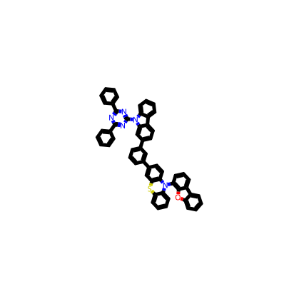 c1ccc(-c2nc(-c3ccccc3)nc(-n3c4ccccc4c4ccc(-c5cccc(-c6ccc7c(c6)Sc6ccccc6N7c6cccc7c6oc6ccccc67)c5)cc43)n2)cc1